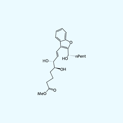 CCCCC[C@H](O)c1oc2ccccc2c1/C=C/[C@@H](O)[C@@H](O)CCCC(=O)OC